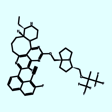 C#Cc1c(F)ccc2cccc(-c3nc4c5c(nc(OC[C@@]67CCCN6[C@H](COC(C)(C(F)(F)F)C(F)(F)F)CC7)nc5c3F)N3CCN[C@@H](CC)[C@H]3CCC4)c12